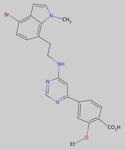 CCOc1cc(-c2cc(NCCc3ccc(Br)c4ccn(C)c34)ncn2)ccc1C(=O)O